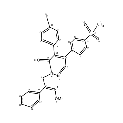 CON=C(Cn1ncc(-c2ccc(S(C)(=O)=O)cc2)c(-c2ccc(F)cc2)c1=O)c1ccccc1